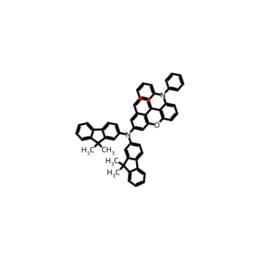 CC1(C)c2ccccc2-c2ccc(N(c3ccc4c(c3)C(C)(C)c3ccccc3-4)c3cc4c5c(cccc5c3)-c3c(cccc3N(c3ccccc3)c3ccccc3)O4)cc21